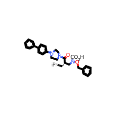 CC(C)C[C@@H](CN(OCc1ccccc1)C(=O)O)C(=O)N1CCN(c2ccc(-c3ccccc3)cc2)CC1